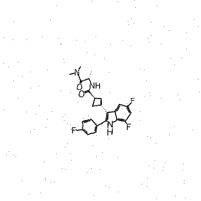 C[C@H](NC(=O)[C@H]1C[C@H](c2c(-c3ccc(F)cc3)[nH]c3c(F)cc(F)cc32)C1)C(=O)N(C)C